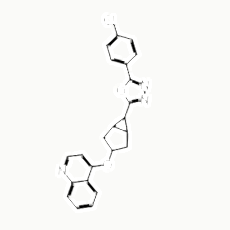 Clc1ccc(-c2nnc(C3C4CC(Oc5ccnc6ccccc56)CC43)o2)cc1